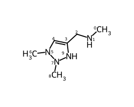 CNCC1=CN(C)N(C)N1